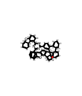 c1ccc(-c2nc(-c3ccc4c(c3)C3(c5ccccc5-c5ccccc5-4)c4ccccc4-c4c3ccc3c4oc4ccccc43)nc(-c3cccc4oc5ccccc5c34)n2)cc1